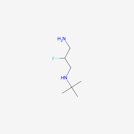 CC(C)(C)NCC(F)CN